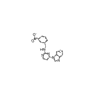 O=[N+]([O-])c1cccc(CNc2nccc(-n3cnc4ccccc43)n2)c1